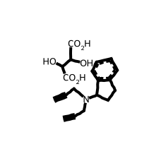 C#CCN(CC#C)C1CCc2ccccc21.O=C(O)C(O)C(O)C(=O)O